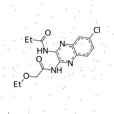 CCOCC(=O)Nc1nc2ccc(Cl)cc2nc1NC(=O)CC